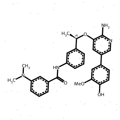 COc1cc(-c2cnc(N)c(O[C@H](C)c3cccc(NC(=O)c4cccc(N(C)C)c4)c3)c2)ccc1O